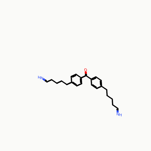 N=CCCCCc1ccc(C(=O)c2ccc(CCCCC=N)cc2)cc1